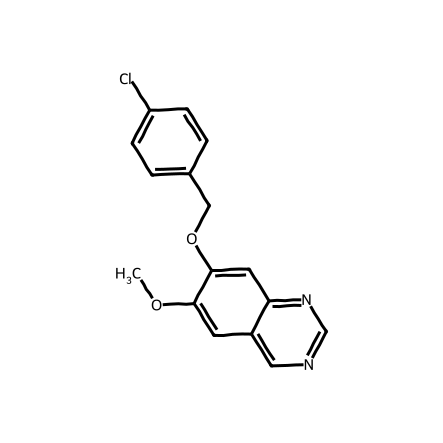 COc1cc2cncnc2cc1OCc1ccc(Cl)cc1